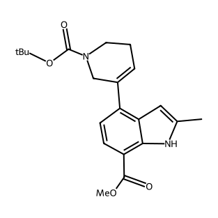 COC(=O)c1ccc(C2=CCCN(C(=O)OC(C)(C)C)C2)c2cc(C)[nH]c12